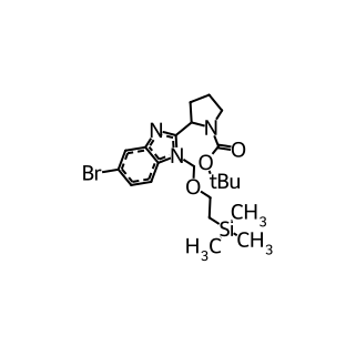 CC(C)(C)OC(=O)N1CCCC1c1nc2cc(Br)ccc2n1COCC[Si](C)(C)C